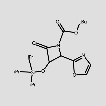 CC(C)[Si](OC1C(=O)N(C(=O)OC(C)(C)C)C1c1ncco1)(C(C)C)C(C)C